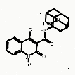 CC(C)n1c(=O)c(C(=O)NC23CC4CC(C2)N(C)C(C4)C3)c(O)c2ccccc21